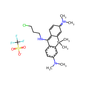 CN(C)c1ccc2c(c1)[Si](C)(C)C1=CC(=[N+](C)C)C=CC1=C2NCCCCl.O=S(=O)([O-])C(F)(F)F